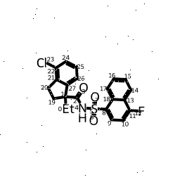 CCC1(C(=O)NS(=O)(=O)c2ccc(F)c3ccccc23)CCc2c(Cl)cccc21